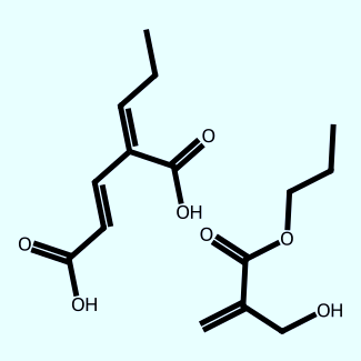 C=C(CO)C(=O)OCCC.CCC=C(C=CC(=O)O)C(=O)O